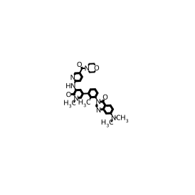 Cc1c(-c2cc(Nc3ccc(C(=O)N4CCOCC4)cn3)c(=O)n(C)c2)cccc1-n1cnc2cc(N(C)C)ccc2c1=O